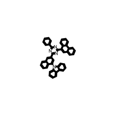 c1ccc(-c2nc(-c3cc(-n4c5ccccc5c5ccccc54)c4ccccc4c3)nc(-c3cc4ccccc4c4ccccc34)n2)cc1